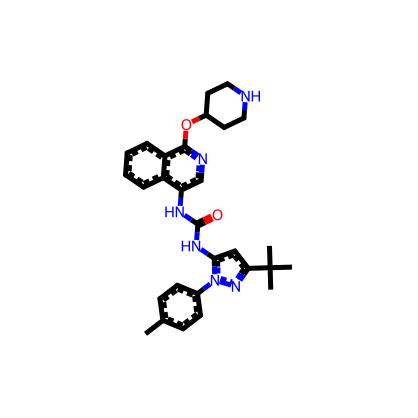 Cc1ccc(-n2nc(C(C)(C)C)cc2NC(=O)Nc2cnc(OC3CCNCC3)c3ccccc23)cc1